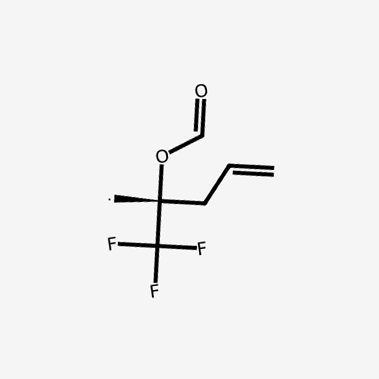 [CH2][C@](CC=C)(OC=O)C(F)(F)F